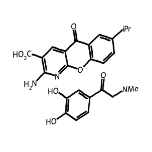 CC(C)c1ccc2oc3nc(N)c(C(=O)O)cc3c(=O)c2c1.CNCC(=O)c1ccc(O)c(O)c1